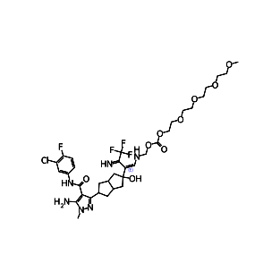 COCCOCCOCCOCCOC(=O)OCN/C=C(\C(=N)C(F)(F)F)C1(O)CC2CC(c3nn(C)c(N)c3C(=O)Nc3ccc(F)c(Cl)c3)CC2C1